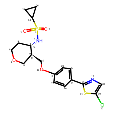 O=S(=O)(N[C@H]1CCOC[C@@H]1COc1ccc(-c2ncc(Cl)s2)cc1)C1CC1